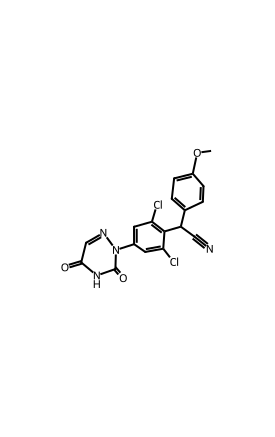 COc1ccc(C(C#N)c2c(Cl)cc(-n3ncc(=O)[nH]c3=O)cc2Cl)cc1